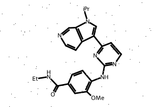 CCNC(=O)c1ccc(Nc2nccc(-c3cn(C(C)C)c4cnccc34)n2)c(OC)c1